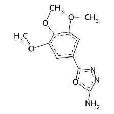 COc1cc(-c2nnc(N)o2)cc(OC)c1OC